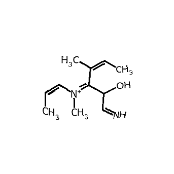 C\C=C/[N+](C)=C(\C(C)=C/C)C(O)C=N